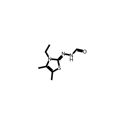 CCn1c(C)c(C)sc1=NNC=O